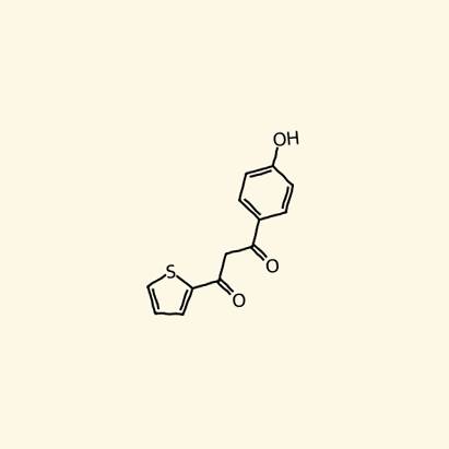 O=C(CC(=O)c1cccs1)c1ccc(O)cc1